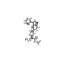 CN(C(=O)CC1CC1)[C@H]1CCN(c2ccn3ncc(-c4ccccn4)c3n2)C1